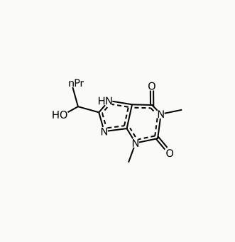 CCCC(O)c1nc2c([nH]1)c(=O)n(C)c(=O)n2C